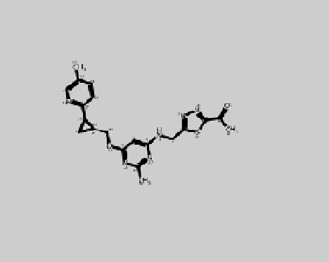 CC(=O)c1nnc(CNc2cc(OC[C@H]3CC3c3ccc(C)cn3)nc(C)n2)s1